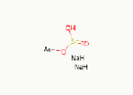 O=S(O)[O][Au].[NaH].[NaH]